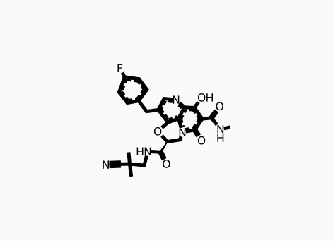 CNC(=O)c1c(O)c2ncc(Cc3ccc(F)cc3)c3c2n(c1=O)C[C@@H](C(=O)NCC(C)(C)C#N)O3